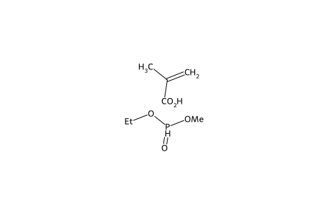 C=C(C)C(=O)O.CCO[PH](=O)OC